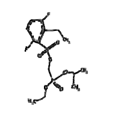 CCOP(=O)(COS(=O)(=O)c1c(F)ccc(F)c1CC)OC(C)C